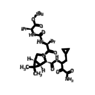 CC(C)[C@H](NC(=O)N[C@H](C(=O)N1C[C@H]2[C@@H]([C@H]1C(=O)NC(CC1CC1)C(=O)C(N)=O)C2(C)C)C(C)C)C(=O)OC(C)(C)C